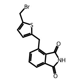 O=C1NC(=O)c2c(Cc3ccc(CBr)s3)cccc21